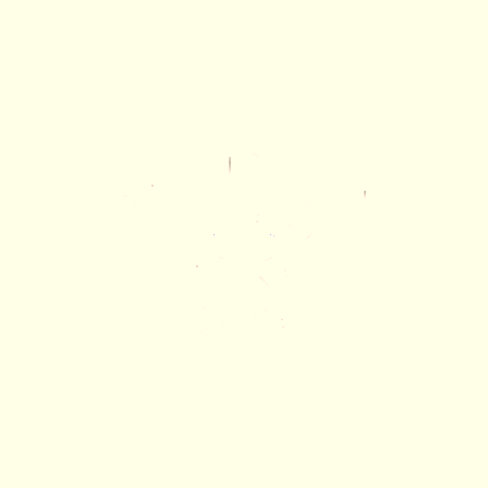 c1ccc(-c2ccc(N3c4ccc(-c5ccccc5)cc4B4c5cc(-c6ccccc6)ccc5N(c5ccc(-c6ccccc6)cc5)c5cc(-c6ccccc6)cc3c54)cc2)cc1